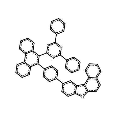 c1ccc(-c2nc(-c3ccccc3)nc(-c3c(-c4ccc(-c5ccc6oc7ccc8ccccc8c7c6c5)cc4)c4ccccc4c4ccccc34)n2)cc1